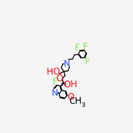 COc1ccc2ncc(F)c([C@H](O)CCC3(C(=O)O)CCN(CCCc4cc(F)cc(F)c4F)CC3)c2c1